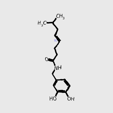 CC(C)C/C=C/CCC(=O)NCc1ccc(O)c(O)c1